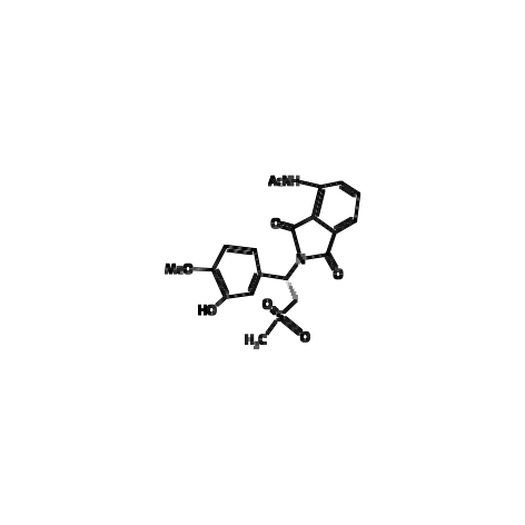 COc1ccc([C@@H](CS(C)(=O)=O)N2C(=O)c3cccc(NC(C)=O)c3C2=O)cc1O